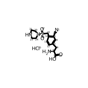 Cl.N#Cc1cc(C[C@H](N)C(=O)O)ccc1CS(=O)(=O)N1CCNCC1